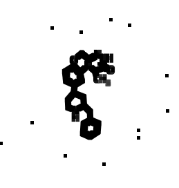 CC1C(=O)NN=C2COc3ccc(C4CCNC(Cc5ccccc5)C4)cc3N21